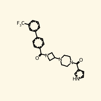 O=C(c1cc[nH]c1)N1CCN(C2CN(C(=O)c3ccc(-c4cccc(C(F)(F)F)c4)cc3)C2)CC1